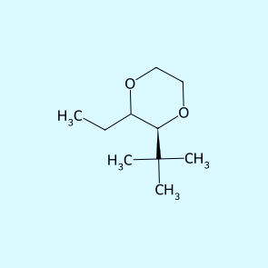 CCC1OCCO[C@H]1C(C)(C)C